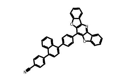 N#Cc1ccc(-c2ccc(-c3ccc(-c4c5oc6ccccc6c5nc5c4oc4ccccc45)cc3)c3ccccc23)cc1